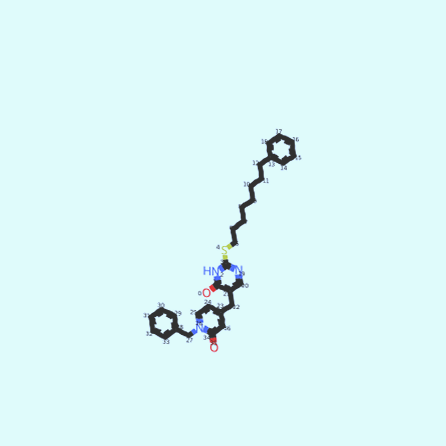 O=c1[nH]c(SCCCCCCCCc2ccccc2)ncc1Cc1ccn(Cc2ccccc2)c(=O)c1